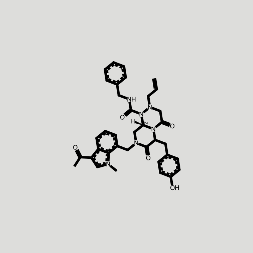 C=CCN1CC(=O)N2C(Cc3ccc(O)cc3)C(=O)N(Cc3cccc4c(C(C)=O)cn(C)c34)C[C@@H]2N1C(=O)NCc1ccccc1